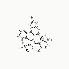 C=CC(=O)N1Cc2sc(CC)cc2C(c2ccccc2-c2cn(-c3ccncc3Cl)nc2C(C)(F)P)C1